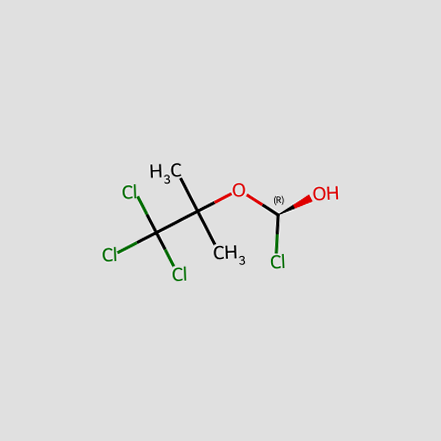 CC(C)(O[C@@H](O)Cl)C(Cl)(Cl)Cl